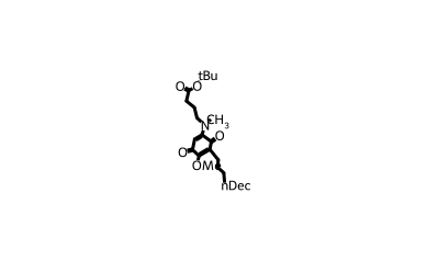 CCCCCCCCCCCCCC1=C(OC)C(=O)C=C(N(C)CCCC(=O)OC(C)(C)C)C1=O